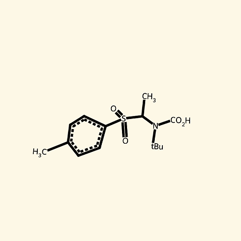 Cc1ccc(S(=O)(=O)C(C)N(C(=O)O)C(C)(C)C)cc1